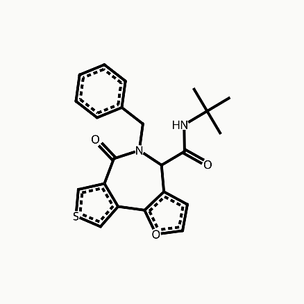 CC(C)(C)NC(=O)C1c2ccoc2-c2cscc2C(=O)N1Cc1ccccc1